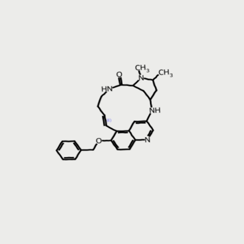 CC1CC2CC(C(=O)NCC/C=C/c3c(OCc4ccccc4)ccc4ncc(cc34)N2)N1C